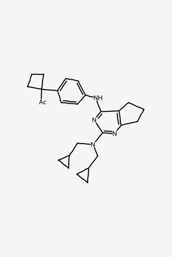 CC(=O)C1(c2ccc(Nc3nc(N(CC4CC4)CC4CC4)nc4c3CCC4)cc2)CCC1